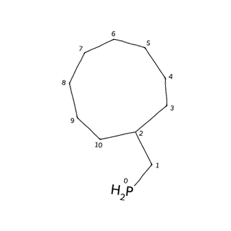 PCC1CCCCCCCC1